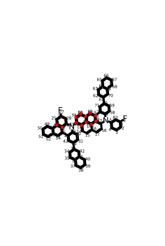 Fc1cccc(N(C2=C3C=CC4=C5C(=CC=C(C=C2)C35)C(N(c2cccc(F)c2)c2ccc(-c3ccc5ccccc5c3)cc2-c2ccc3ccccc3c2)C=C4)c2ccc(-c3ccc4ccccc4c3)cc2-c2ccc3ccccc3c2)c1